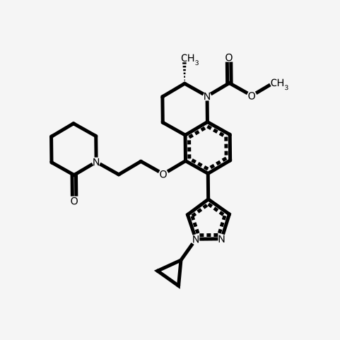 COC(=O)N1c2ccc(-c3cnn(C4CC4)c3)c(OCCN3CCCCC3=O)c2CC[C@@H]1C